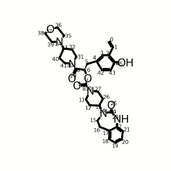 C=Cc1cc(C[C@@H](OC(=O)N2CCC(N3CCc4ccccc4NC3=O)CC2)C(=O)N2CCC(N3CCOCC3)CC2)ccc1O